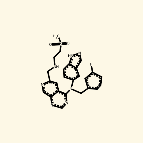 CS(=O)(=O)CCNCc1cc2c(N(Cc3cccc(F)c3)c3ccc4[nH]ncc4c3)ncnc2cn1